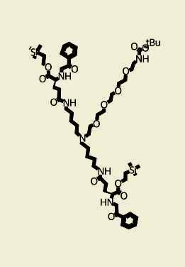 CC(C)(C)OC(=O)NCCOCCOCCOCCOCCN(CCCCCNC(=O)CC[C@H](NCC(=O)c1ccccc1)C(=O)OCC[Si](C)(C)C)CCCCCNC(=O)CC[C@H](NCC(=O)c1ccccc1)C(=O)OCC[Si](C)(C)C